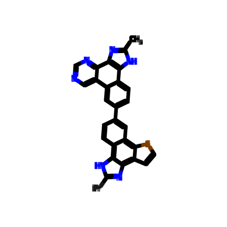 Cc1nc2c3ncncc3c3cc(-c4ccc5c(c4)c4sccc4c4nc(C(C)C)[nH]c54)ccc3c2[nH]1